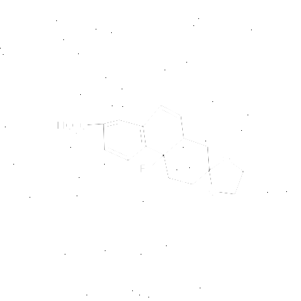 CCC12CCC3(CC1C=Cc1cc(C(=O)O)ccc12)OCCO3